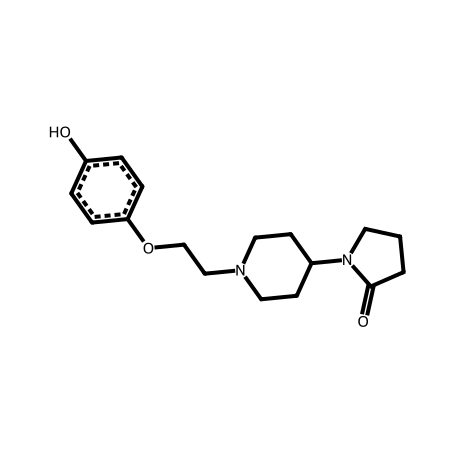 O=C1CCCN1C1CCN(CCOc2ccc(O)cc2)CC1